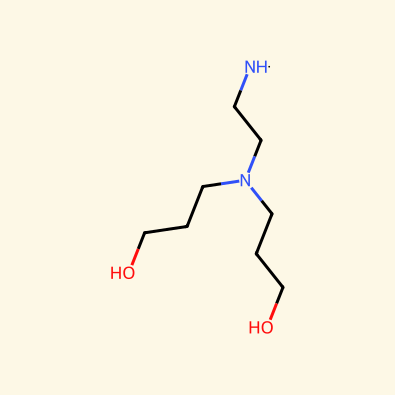 [NH]CCN(CCCO)CCCO